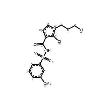 COc1cccc(S(=O)(=O)NC(=O)c2ncn(CCCCl)c2Cl)c1